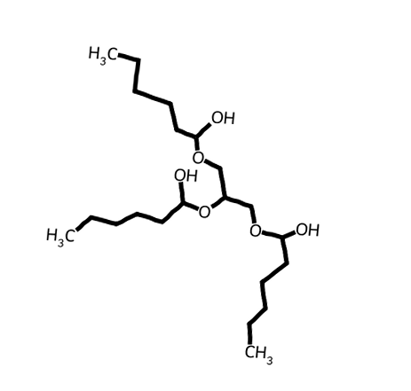 CCCCCC(O)OCC(COC(O)CCCCC)OC(O)CCCCC